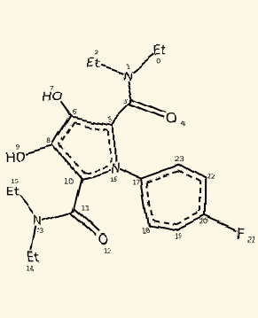 CCN(CC)C(=O)c1c(O)c(O)c(C(=O)N(CC)CC)n1-c1ccc(F)cc1